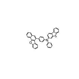 c1ccc(N(c2ccc(-c3cc4ccccc4c4oc5ccccc5c34)cc2)c2ccc3c(c2)sc2ccccc23)cc1